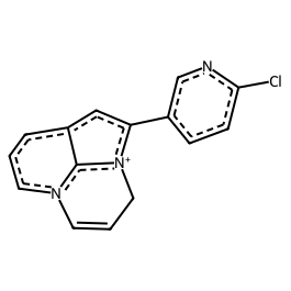 Clc1ccc(-c2cc3cccn4c-3[n+]2CC=C4)cn1